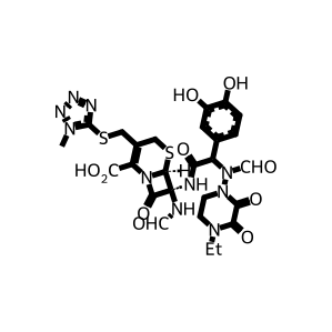 CCN1CCN(N(C=O)C(C(=O)N[C@]2(NC=O)C(=O)N3C(C(=O)O)=C(CSc4nnnn4C)CS[C@H]32)c2ccc(O)c(O)c2)C(=O)C1=O